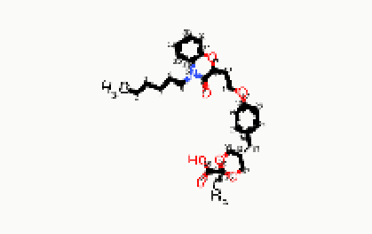 CCCCCCN1C(=O)C(CCOc2ccc(C[C@H]3CO[C@@](C)(C(=O)O)OC3)cc2)Oc2ccccc21